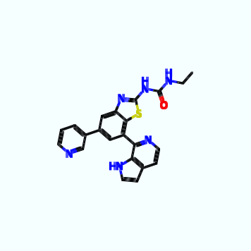 CCNC(=O)Nc1nc2cc(-c3cccnc3)cc(-c3nccc4cc[nH]c34)c2s1